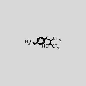 C=Cc1ccc(OC(C)C(O)C(F)(F)F)cc1